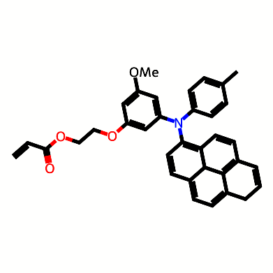 C=CC(=O)OCCOc1cc(OC)cc(N(C2=C3C=CC4=C5C(=CC=C(C=C2)C35)CC=C4)c2ccc(C)cc2)c1